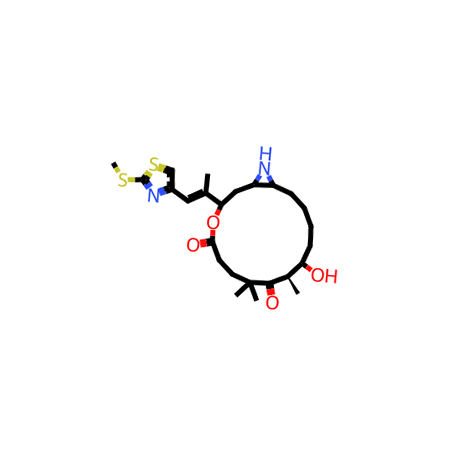 CSc1nc(/C=C(\C)C2CC3NC3CCCCC(O)[C@@H](C)C(=O)C(C)(C)CCC(=O)O2)cs1